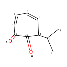 CC(C)C1C=CC=CC(=O)C1=O